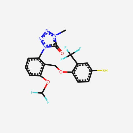 Cn1nnn(-c2cccc(OC(F)F)c2COc2ccc(S)cc2C(F)(F)F)c1=O